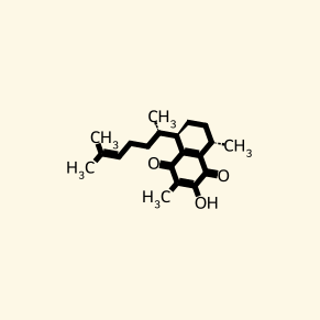 CC(C)=CCC[C@H](C)[C@H]1CC[C@H](C)C2=C1C(=O)C(C)=C(O)C2=O